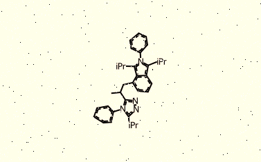 CC(C)c1nnc(C(C)Cc2cccc3c(C(C)C)n(-c4ccccc4)c(C(C)C)c23)n1-c1ccccc1